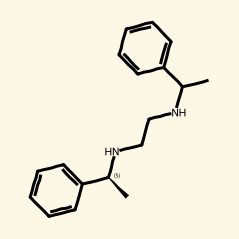 CC(NCCN[C@@H](C)c1ccccc1)c1ccccc1